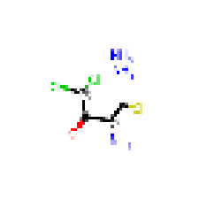 N.N.N[C@@H](CS)[C](=O)[Pt]([Cl])[Cl]